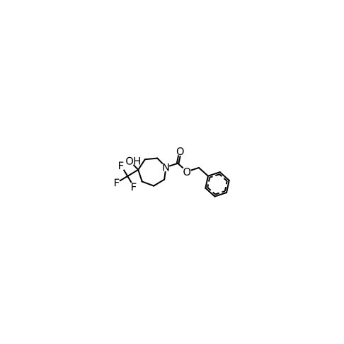 O=C(OCc1ccccc1)N1CCCC(O)(C(F)(F)F)CC1